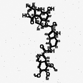 COc1cc2cnc(C(=O)Nc3ccc4[nH]c(C(=O)N5C[C@@](C)(CCl)c6c5cc(O)c5[nH]c(C(F)(F)F)c(C(=O)O)c65)cc4c3)cc2c(OC)c1OC